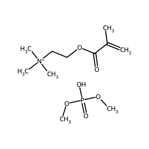 C=C(C)C(=O)OCC[N+](C)(C)C.COP(=O)(O)OC